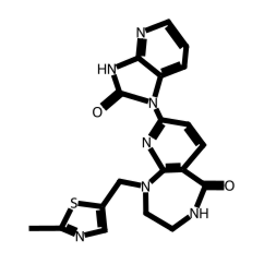 Cc1ncc(CN2CCNC(=O)c3ccc(-n4c(=O)[nH]c5ncccc54)nc32)s1